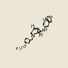 COc1cccc(CN2C[C@H]3C[C@@H]2[C@H](Nc2ccc4[nH]ncc4c2)C3)c1